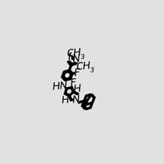 Cc1nn(C)cc1-c1ccc(N[C@H]2C[C@@H]3CN(CC45CC6CC(CC(C6)C4)C5)C[C@@H]3C2)c(F)c1F